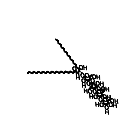 CCCCCCCCCCCCC/C=C/[C@@H](O)[C@H](CO[C@@H]1OC(CO)[C@@H](O[C@@H]2OC(CO)[C@H](O[C@@H]3OC(CO)[C@H](O)[C@H](O[C@H]4OC(CO)[C@H](O)[C@H](O)C4O)C3O)[C@H](O)C2O)[C@H](O)C1O)NC(=O)CCCCCCCCCCCCCCCCCCCCC